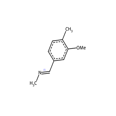 C/N=C/c1ccc(C)c(OC)c1